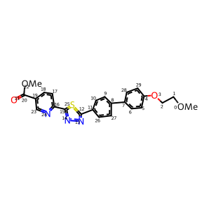 COCCOc1ccc(-c2ccc(-c3nnc(-c4ccc(C(=O)OC)cn4)s3)cc2)cc1